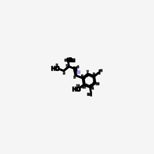 CC(C)(C)C(CO)/N=C/c1cc(I)cc(I)c1O